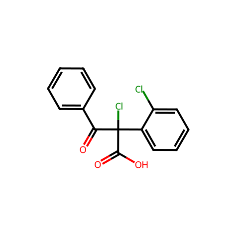 O=C(O)C(Cl)(C(=O)c1ccccc1)c1ccccc1Cl